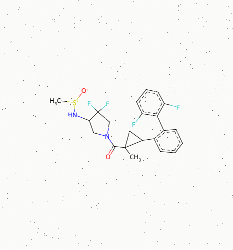 C[S+]([O-])NC1CN(C(=O)C2(C)CC2c2ccccc2-c2c(F)cccc2F)CC1(F)F